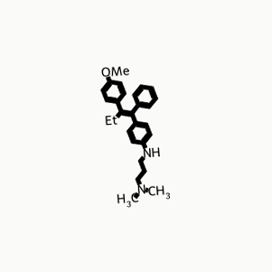 CCC(=C(c1ccccc1)c1ccc(NCCCN(C)C)cc1)c1ccc(OC)cc1